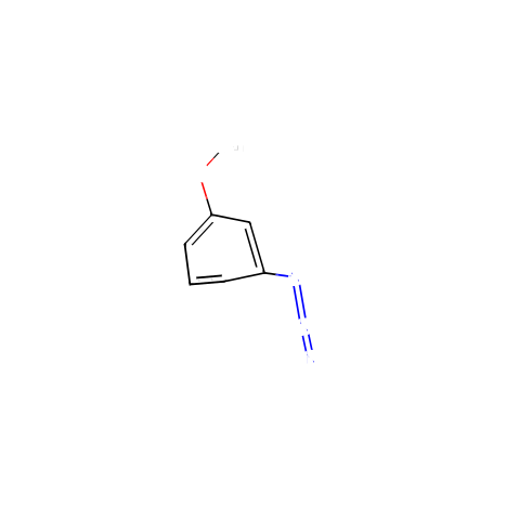 CC(C)(C)Oc1[c]c(N=[N+]=[N-])ccc1